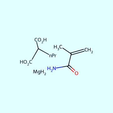 C=C(C)C(N)=O.CCCC(C(=O)O)C(=O)O.[MgH2]